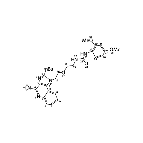 CCCCc1nc2c(N)nc3ccccc3c2n1CCOCCNC(=O)Nc1ccc(OC)cc1OC